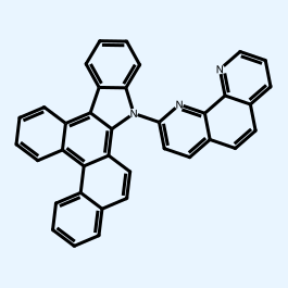 c1ccc2c(c1)ccc1c2c2ccccc2c2c3ccccc3n(-c3ccc4ccc5cccnc5c4n3)c12